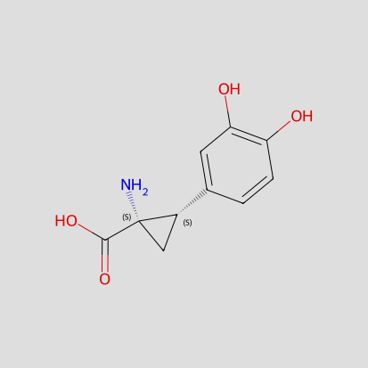 N[C@@]1(C(=O)O)C[C@H]1c1ccc(O)c(O)c1